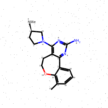 CN[C@@H]1CCN(c2nc(N)nc3c2CCOc2c(C)cccc2-3)C1